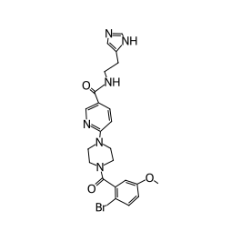 COc1ccc(Br)c(C(=O)N2CCN(c3ccc(C(=O)NCCc4cnc[nH]4)cn3)CC2)c1